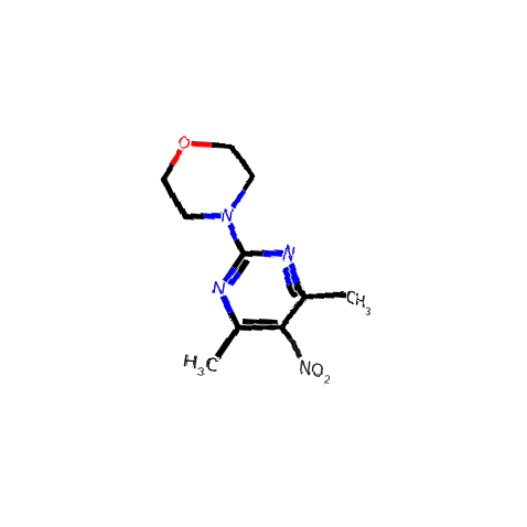 Cc1nc(N2CCOCC2)nc(C)c1[N+](=O)[O-]